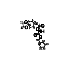 O=C(C=C1CCC2(CC1)OCCO2)ONC(=O)OCc1ccccc1